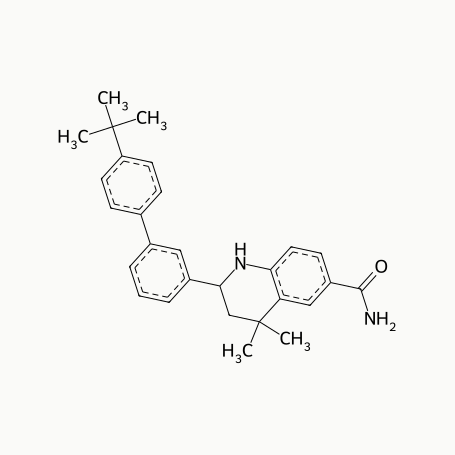 CC(C)(C)c1ccc(-c2cccc(C3CC(C)(C)c4cc(C(N)=O)ccc4N3)c2)cc1